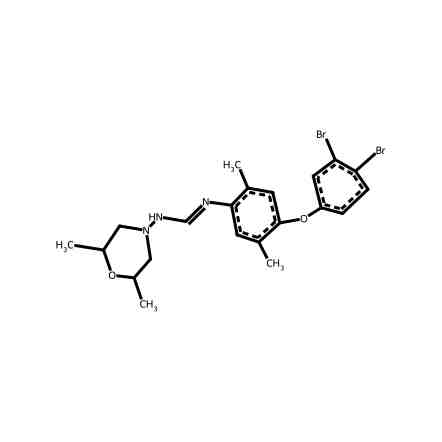 Cc1cc(Oc2ccc(Br)c(Br)c2)c(C)cc1N=CNN1CC(C)OC(C)C1